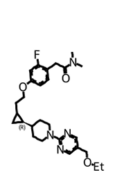 CCOCc1cnc(N2CCC([C@H]3CC3CCOc3ccc(CC(=O)N(C)C)c(F)c3)CC2)nc1